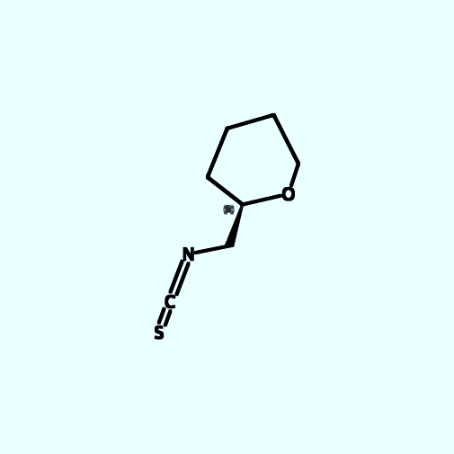 S=C=NC[C@H]1CCCCO1